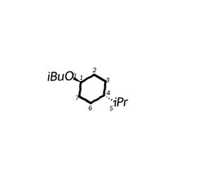 CC(C)CO[C@H]1CC[C@H](C(C)C)CC1